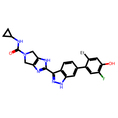 CCc1cc(O)c(F)cc1-c1ccc2c(-c3nc4c([nH]3)CN(C(=O)NC3CC3)C4)n[nH]c2c1